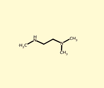 [CH2]NCCN(C)C